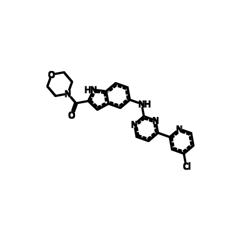 O=C(c1cc2cc(Nc3nccc(-c4cc(Cl)ccn4)n3)ccc2[nH]1)N1CCOCC1